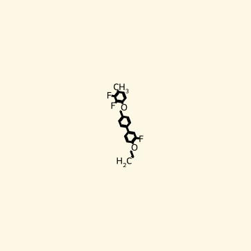 C=CCOc1ccc(-c2ccc(COc3ccc(C)c(F)c3F)cc2)cc1F